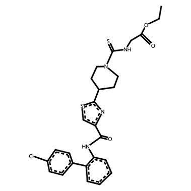 CCOC(=O)CNC(=S)N1CCC(c2nc(C(=O)Nc3ccccc3-c3ccc(Cl)cc3)cs2)CC1